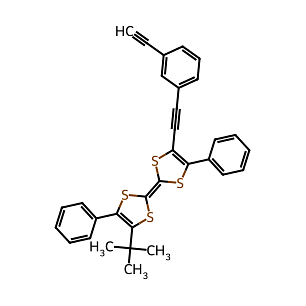 C#Cc1cccc(C#CC2=C(c3ccccc3)S/C(=C3/SC(c4ccccc4)=C(C(C)(C)C)S3)S2)c1